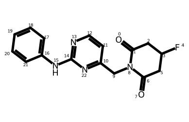 O=C1CC(F)CC(=O)N1Cc1ccnc(Nc2ccccc2)n1